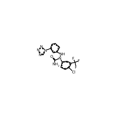 NC(=O)N(Nc1cccc(-n2cnnn2)c1)c1ccc(Cl)c(C(F)(F)F)c1